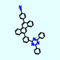 N#Cc1ccc(-c2cc3c4ccccc4c(-c4cccc(-c5nc(-c6ccccc6)nc(-c6ccccc6)n5)c4)cc3c3ccccc23)cc1